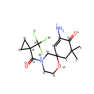 CC1(C)CC2(C=C(N)C1=O)CN(C(=O)C1(C(F)(F)F)CC1)CCO2